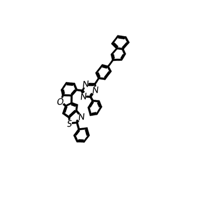 c1ccc(-c2nc(-c3ccc(-c4ccc5ccccc5c4)cc3)nc(-c3cccc4oc5cc6sc(-c7ccccc7)nc6cc5c34)n2)cc1